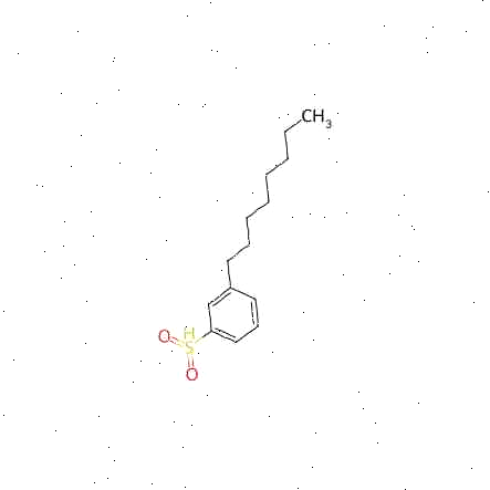 CCCCCCCCc1cccc([SH](=O)=O)c1